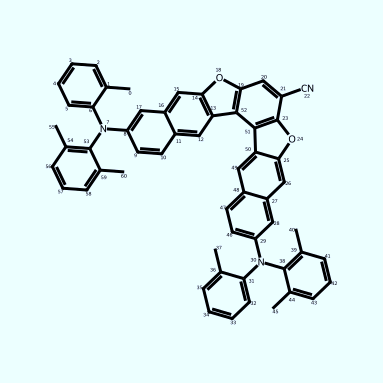 Cc1ccccc1N(c1ccc2cc3c(cc2c1)oc1cc(C#N)c2oc4cc5cc(N(c6ccccc6C)c6c(C)cccc6C)ccc5cc4c2c13)c1c(C)cccc1C